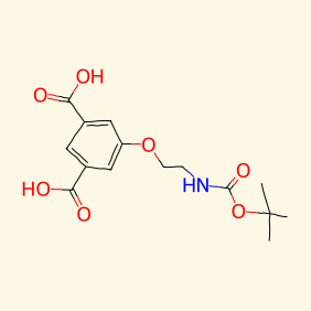 CC(C)(C)OC(=O)NCCOc1cc(C(=O)O)cc(C(=O)O)c1